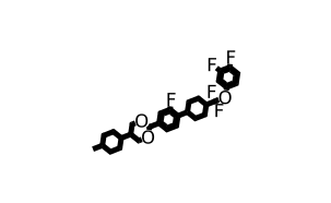 CC1CCC(C2COC(c3ccc(C4CCC(C(F)(F)Oc5ccc(F)c(F)c5)CC4)c(F)c3)OC2)CC1